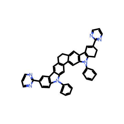 C1=C(c2ncccn2)CCc2c1c1cc3c(cc1n2-c1ccccc1)-c1cc2c(cc1CC3)c1cc(-c3ncccn3)ccc1n2-c1ccccc1